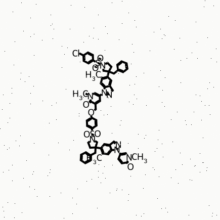 Cc1cc2c(cnn2-c2ccc(=O)n(C)c2)cc1C1(Cc2ccccc2)CCN(S(=O)(=O)c2ccc(OCc3cc(-n4ncc5cc(C6(Cc7ccccc7)CCN(S(=O)(=O)c7ccc(Cl)cc7)C6)c(C)cc54)cn(C)c3=O)cc2)C1